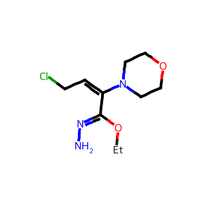 CCOC(=NN)/C(=C\CCl)N1CCOCC1